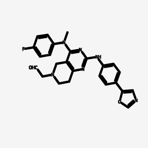 CN(c1ccc(F)cc1)c1nc(Nc2ccc(-c3cnco3)cc2)nc2c1CN(CC=O)CC2